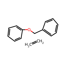 C=C.c1ccc(COc2ccccc2)cc1